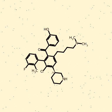 Cc1c(F)cccc1-c1c(Cl)c([C@@H]2CCCNC2)[c]c(CCCCN(C)C)c1C(=O)c1cccc(O)c1